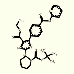 CCOC(=O)c1[nH]c([C@@H]2CCCCN2C(=O)OC(C)(C)C)nc1-c1ccc(C(=O)Nc2ccccn2)cc1